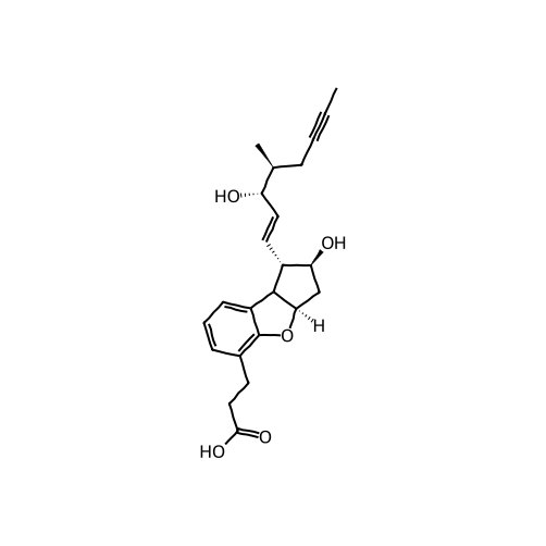 CC#CC[C@H](C)[C@@H](O)/C=C/[C@H]1C2c3cccc(CCC(=O)O)c3O[C@@H]2C[C@@H]1O